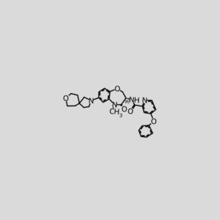 CN1C(=O)[C@H](NC(=O)c2cc(Oc3ccccc3)ccn2)COc2ccc(N3CCC4(CCOCC4)C3)cc21